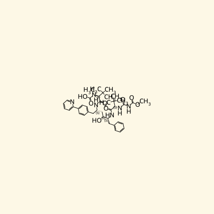 COC(=O)NC(=O)N[C@H](C(=O)N[C@@H](Cc1ccccc1)[C@@H](O)C[C@H](Cc1ccc(-c2ccccn2)cc1)NC(=O)[C@@H](N(C)C(=O)O)C(C)(C)C)C(C)(C)C